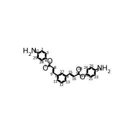 Nc1ccc(OC(=O)/C=C/c2cccc(/C=C/C(=O)Oc3ccc(N)cc3)c2)cc1